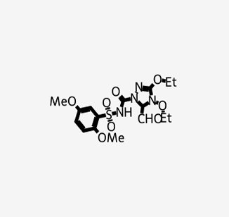 CCOC1=NN(C(=O)NS(=O)(=O)c2cc(OC)ccc2OC)C(C=O)N1OCC